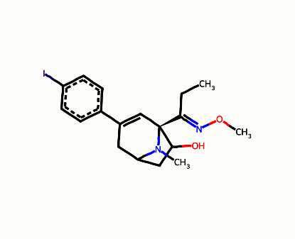 CCC(=NOC)[C@@]12C=C(c3ccc(I)cc3)CC(CC1O)N2C